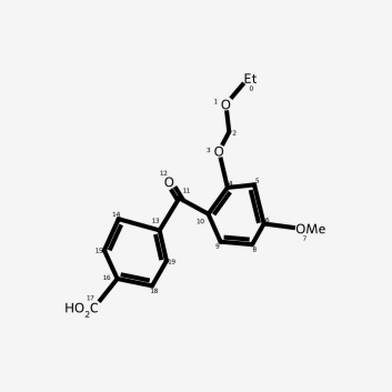 CCOCOc1cc(OC)ccc1C(=O)c1ccc(C(=O)O)cc1